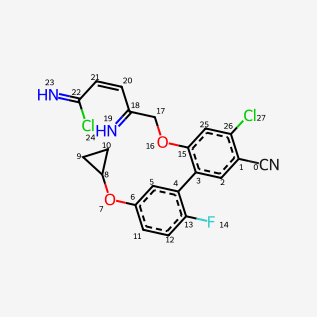 N#Cc1cc(-c2cc(OC3CC3)ccc2F)c(OCC(=N)/C=C\C(=N)Cl)cc1Cl